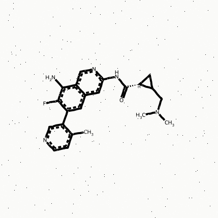 Cc1ccncc1-c1cc2cc(NC(=O)[C@@H]3CC3CN(C)C)ncc2c(N)c1F